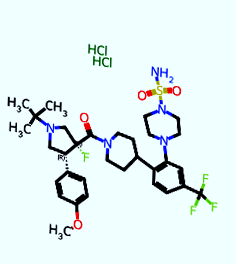 COc1ccc([C@@H]2CN(C(C)(C)C)C[C@@]2(F)C(=O)N2CCC(c3ccc(C(F)(F)F)cc3N3CCN(S(N)(=O)=O)CC3)CC2)cc1.Cl.Cl